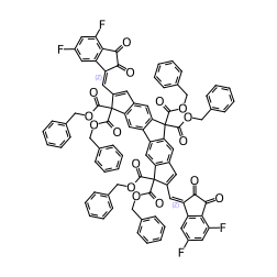 O=C1C(=O)c2c(F)cc(F)cc2/C1=C/C1=Cc2cc3c(cc2C1(C(=O)OCc1ccccc1)C(=O)OCc1ccccc1)-c1cc2c(cc1C3(C(=O)OCc1ccccc1)C(=O)OCc1ccccc1)C=C(/C=C1\C(=O)C(=O)c3c(F)cc(F)cc31)C2(C(=O)OCc1ccccc1)C(=O)OCc1ccccc1